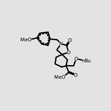 CCCCOCC1(C(=O)OC)CCCC2(CN(Cc3ccc(OC)cc3)C(=O)O2)C1